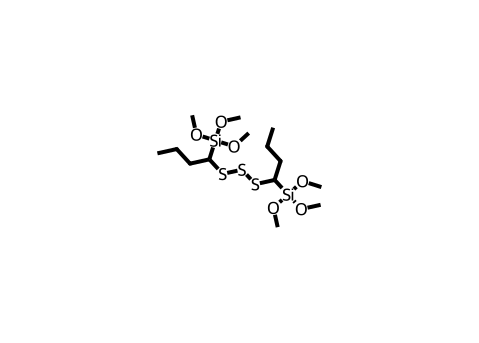 CCCC(SSSC(CCC)[Si](OC)(OC)OC)[Si](OC)(OC)OC